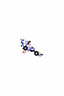 C=CC(=O)Nc1cc(Nc2cc(-c3ccc4nc(C)sc4c3)ncn2)c(OC)cc1N(C)CCN(C)C